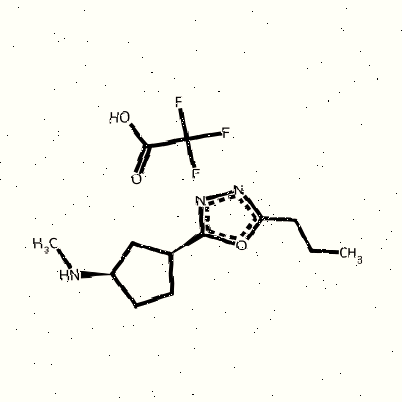 CCCc1nnc([C@H]2CC[C@@H](NC)C2)o1.O=C(O)C(F)(F)F